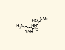 CNCC(O)CNC(=O)[C@H](CCCCN)NC